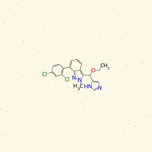 CCOC(c1cnc[nH]1)c1c2cccc(-c3ccc(Cl)cc3Cl)c2nn1C